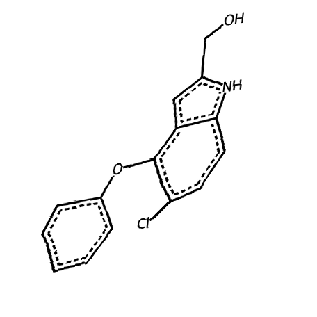 OCc1cc2c(Oc3ccccc3)c(Cl)ccc2[nH]1